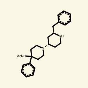 CC(=O)NC1(c2ccccc2)CCN([C@H]2CCN[C@H](Cc3ccccc3)C2)CC1